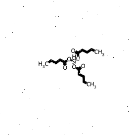 CCCCC(=O)O[SiH](OC(=O)CCCC)OC(=O)CCCC